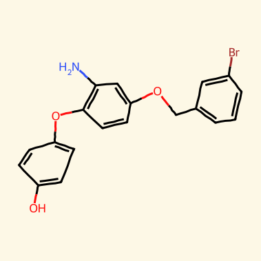 Nc1cc(OCc2cccc(Br)c2)ccc1Oc1ccc(O)cc1